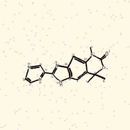 CN1C(=O)OC(C)(C)c2cc3[nH]c(-c4cnccn4)nc3cc21